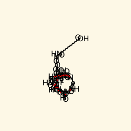 COc1ccc(C[C@@H]2NC(=O)[C@H]([C@@H](C)O)NC(=O)[C@@H]3[C@@H]4CCCN3C(=O)[C@@H]3Cc5cn(c6ccc(F)cc56)CCCCCCN(Cc5ccc(cc5)CCNC(=O)[C@]5(C)CCCN5C2=O)C(=O)CCC(=O)N[C@@H](C)C(=O)N[C@H](CNC(=O)CCOCCOCC[N+](C)(C)CCNC(=O)CCCCCCCCCCCCCCCCC(=O)O)C(=O)N[C@@H](Cc2cccc(c2)CNC(=O)CO4)C(=O)N3)cc1